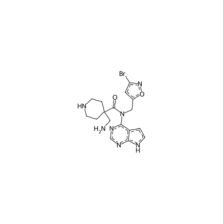 NCC1(C(=O)N(Cc2cc(Br)no2)c2ncnc3[nH]ccc23)CCNCC1